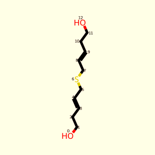 OCCC=CCSCC=CCCO